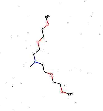 CCCOCCOCCN(C)CCOCCOCCC